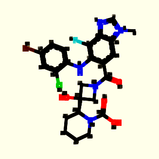 Cn1cnc2c(F)c(Nc3ccc(Br)cc3Cl)c(C(=O)N3CC(O)([C@@H]4CCCCN4C(=O)O)C3)cc21